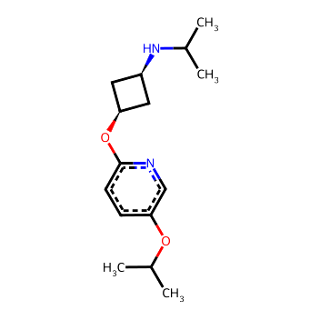 CC(C)N[C@H]1C[C@@H](Oc2ccc(OC(C)C)cn2)C1